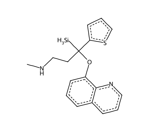 CNCCC([SiH3])(Oc1cccc2cccnc12)c1cccs1